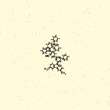 Cc1ccc2c(c1)c1cc(C)ccc1n2-c1nc(-c2ccccc2)nc(-c2ccc(-n3c4ccccc4c4ccc5c(c6ccccc6n5-c5ccccc5)c43)c(C#N)c2)n1